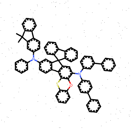 CC1(C)c2ccccc2-c2ccc(N(c3ccccc3)c3ccc4c(c3)C3(c5ccccc5-c5ccccc53)c3cc(N(c5ccc(-c6ccccc6)cc5)c5cccc(-c6ccccc6)c5)c5c(c3-4)Sc3ccccc3O5)cc21